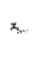 CCOC(=O)C1(CO)CCC(N2CCC(CNc3cc(-n4c(C(F)F)nc5ccccc54)nc(N4CCOCC4)n3)CC2)CC1